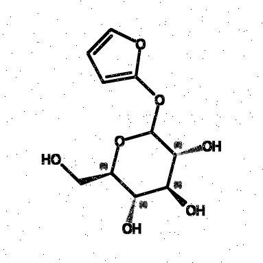 OC[C@H]1OC(Oc2ccco2)[C@H](O)[C@@H](O)[C@@H]1O